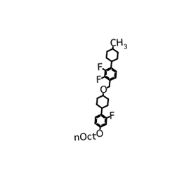 CCCCCCCCOc1ccc(C2CCC(OCc3ccc(C4CCC(C)CC4)c(F)c3F)CC2)c(F)c1